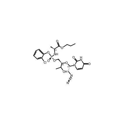 CCCOC(=O)[C@H](C)NP(=O)(OC[C@@H](O[C@@H](CN=[N+]=[N-])n1ccc(=O)[nH]c1=O)C(C)O)Oc1ccccc1Cl